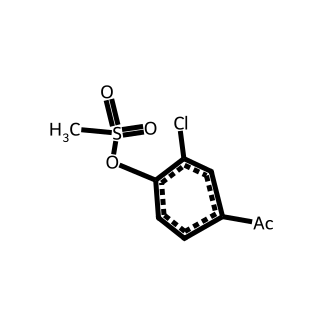 CC(=O)c1ccc(OS(C)(=O)=O)c(Cl)c1